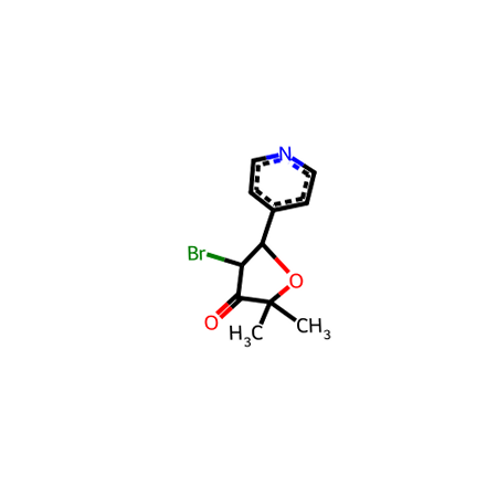 CC1(C)OC(c2ccncc2)C(Br)C1=O